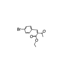 CCOC(=O)C(=Cc1ccc(Br)cc1)C(C)=O